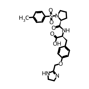 Cc1ccc(S(=O)(=O)N2CCC[C@H]2C(=O)N[C@@H](Cc2ccc(OCC3=NCCN3)cc2)C(=O)O)cc1